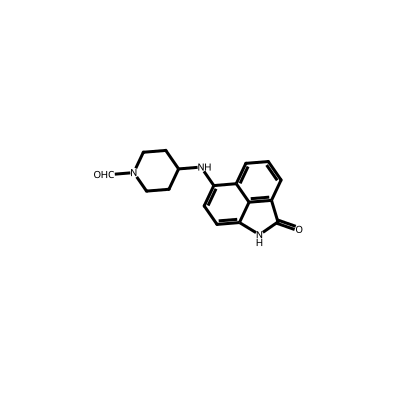 O=CN1CCC(Nc2ccc3c4c(cccc24)C(=O)N3)CC1